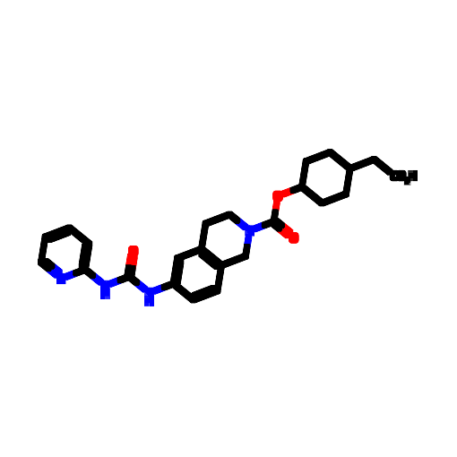 O=C(O)CC1CCC(OC(=O)N2CCc3cc(NC(=O)Nc4ccccn4)ccc3C2)CC1